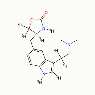 [2H]c1c(C([2H])([2H])CN(C)C)c2cc(C[C@]3([2H])N([2H])C(=O)OC3([2H])[2H])ccc2n1[2H]